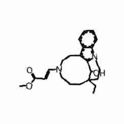 CCC12CCCN(/C=C/C(=O)OC)CCc3c(n(c4ccccc34)CC1)C2O